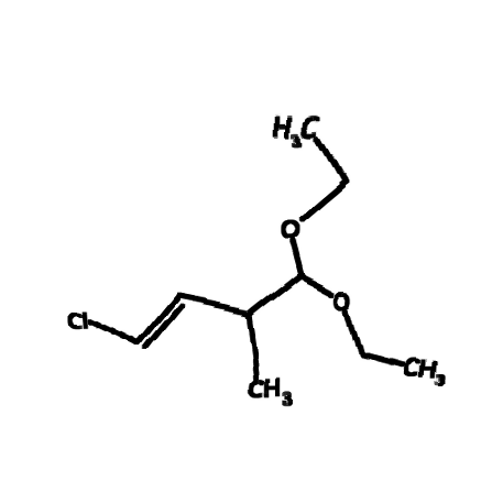 CCOC(OCC)C(C)C=CCl